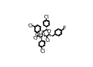 O=C(O)[C@H](c1ccc(Cl)cc1)N1C(=O)[C@H](Cc2ccc(F)cc2)O[C@@H](c2ccc(Cl)cc2)[C@H]1c1ccc(Cl)cc1